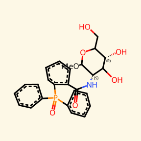 COC1OC(CO)[C@H](O)C(O)[C@@H]1NC(=O)c1ccccc1P(=O)(c1ccccc1)c1ccccc1